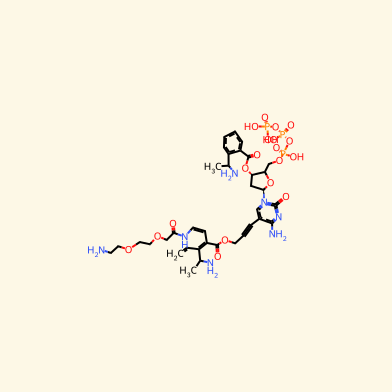 C=C/C(=C(\C=C/NC(=O)COCCOCCN)C(=O)OCC#Cc1cn([C@H]2C[C@@H](OC(=O)c3ccccc3C(C)N)C(COP(=O)(O)OP(=O)(O)OP(=O)(O)O)O2)c(=O)nc1N)C(C)N